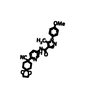 COc1ccc(-n2ncc(C(=O)Nc3ccc(C4(C#N)CCC5(CC4)OCCO5)nc3)c2C)cc1